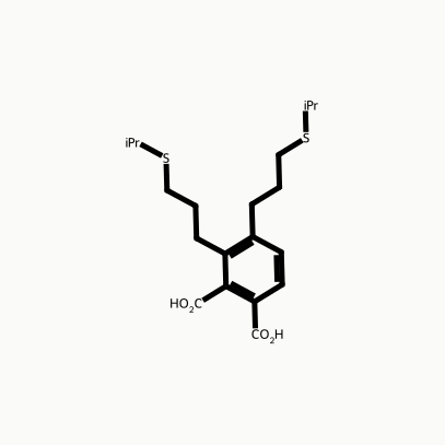 CC(C)SCCCc1ccc(C(=O)O)c(C(=O)O)c1CCCSC(C)C